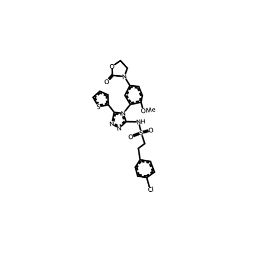 COc1ccc(N2CCOC2=O)cc1-n1c(NS(=O)(=O)CCc2ccc(Cl)cc2)nnc1-c1cccs1